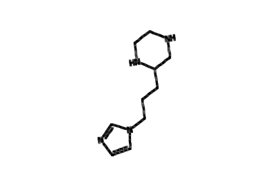 c1cn(CCCC2CNCCN2)cn1